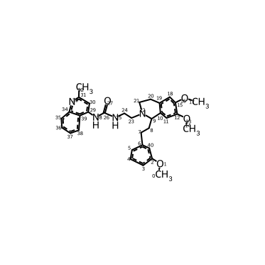 COc1cccc(CCC2c3cc(OC)c(OC)cc3CCN2CCNC(=O)Nc2cc(C)nc3ccccc23)c1